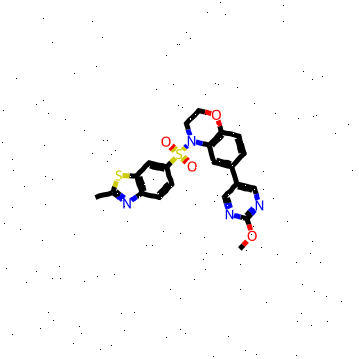 COc1ncc(-c2ccc3c(c2)N(S(=O)(=O)c2ccc4nc(C)sc4c2)CCO3)cn1